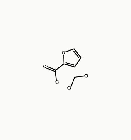 ClCCl.O=C(Cl)c1ccco1